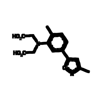 Cc1cc(-c2ccc(C)c(N(CC(=O)O)CC(=O)O)c2)on1